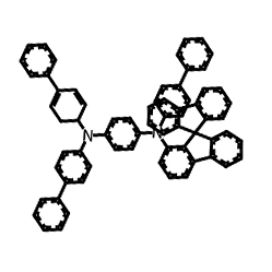 C1=CC(N(c2ccc(-c3ccccc3)cc2)c2ccc(N(c3ccc(-c4ccccc4)cc3)c3cccc4c3C3(c5ccccc5-c5ccccc53)c3ccccc3-4)cc2)CC=C1c1ccccc1